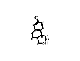 Clc1ccc2c(c1)CCC1CNCCC21